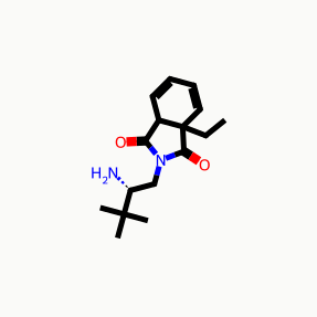 CCC12C=CC=CC1C(=O)N(C[C@@H](N)C(C)(C)C)C2=O